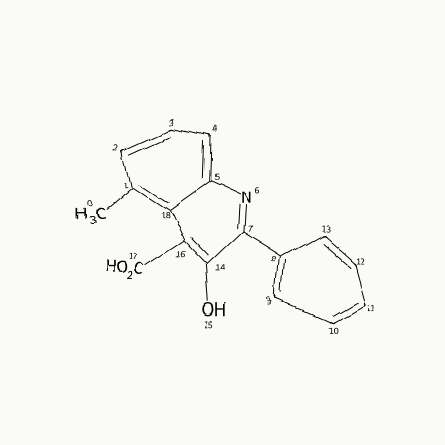 Cc1cccc2nc(-c3ccccc3)c(O)c(C(=O)O)c12